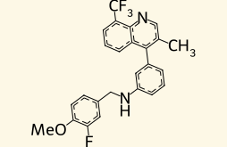 COc1ccc(CNc2cccc(-c3c(C)cnc4c(C(F)(F)F)cccc34)c2)cc1F